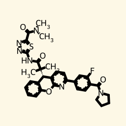 CN(C)C(=O)c1nnc(NC(=O)C(C)(C)[C@H]2c3ccccc3Oc3nc(-c4ccc(C(=O)N5CCCC5)c(F)c4)ccc32)s1